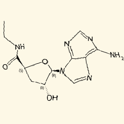 CCNC(=O)[C@@H]1C[C@@H](O)[C@H](n2cnc3c(N)ncnc32)O1